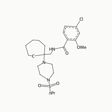 CCCS(=O)(=O)N1CCN(C2(CNC(=O)c3ccc(Cl)cc3OC)CCCCCC2)CC1